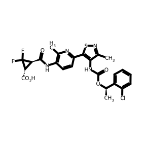 Cc1nc(-c2snc(C)c2NC(=O)O[C@H](C)c2ccccc2Cl)ccc1NC(=O)[C@H]1[C@H](C(=O)O)C1(F)F